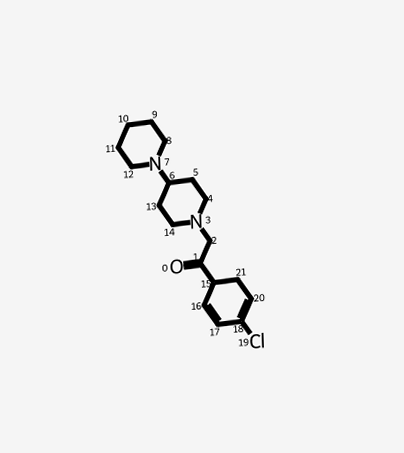 O=C(CN1CCC(N2CCCCC2)CC1)C1C=CC(Cl)=CC1